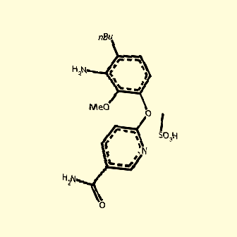 CCCCc1ccc(Oc2ccc(C(N)=O)cn2)c(OC)c1N.CS(=O)(=O)O